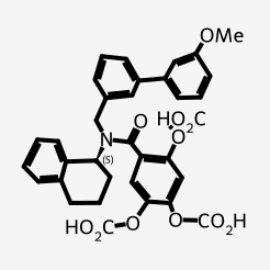 COc1cccc(-c2cccc(CN(C(=O)c3cc(OC(=O)O)c(OC(=O)O)cc3OC(=O)O)[C@H]3CCCc4ccccc43)c2)c1